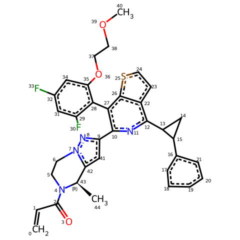 C=CC(=O)N1CCn2nc(-c3nc(C4CC4c4ccccc4)c4ccsc4c3-c3c(F)cc(F)cc3OCCOC)cc2[C@H]1C